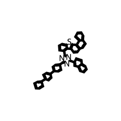 c1ccc(-c2ccc(-c3ccc(-c4nc(-c5ccc6ccccc6c5)nc(-c5cccc6sc7c(ccc8ccc9ccccc9c87)c56)n4)cc3)cc2)cc1